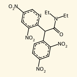 CCN(CC)C(=O)C(c1ccc([N+](=O)[O-])cc1[N+](=O)[O-])c1ncc([N+](=O)[O-])cc1[N+](=O)[O-]